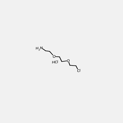 Cl.NCCOCCOCCCl